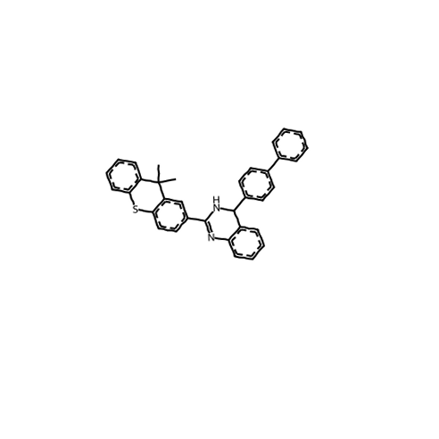 CC1(C)c2ccccc2Sc2ccc(C3=Nc4ccccc4C(c4ccc(-c5ccccc5)cc4)N3)cc21